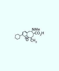 C=C1C[C@H](C(=O)O)C(NC)CC2=CC=C(C3CCCCC3)C[C@@H]2C1=O